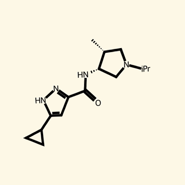 CC(C)N1C[C@@H](C)[C@@H](NC(=O)c2cc(C3CC3)[nH]n2)C1